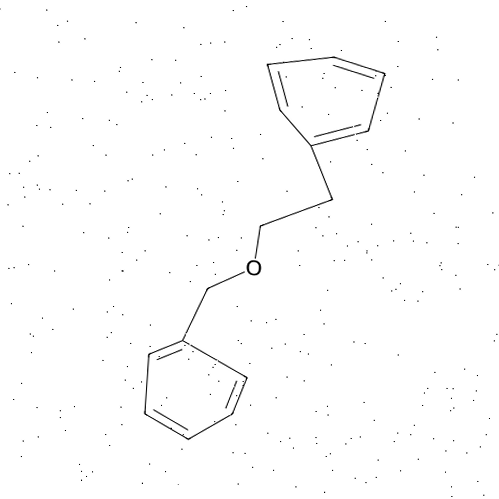 c1ccc(CCOCc2ccccc2)cc1